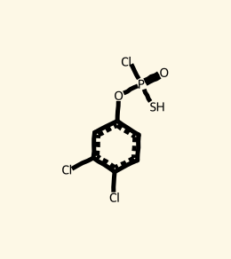 O=P(S)(Cl)Oc1ccc(Cl)c(Cl)c1